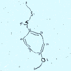 COc1ccc(SSC)cc1